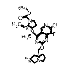 C=C[C@@H]1[C@H](N(C)c2nc(OC[C@@]34CCCN3C[C@H](F)C4)nc3c(F)c(Cl)ncc23)CCN1C(=O)OC(C)(C)C